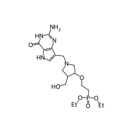 CCOP(=O)(CCOC1CN(Cc2c[nH]c3c(=O)[nH]c(N)nc23)CC1CO)OCC